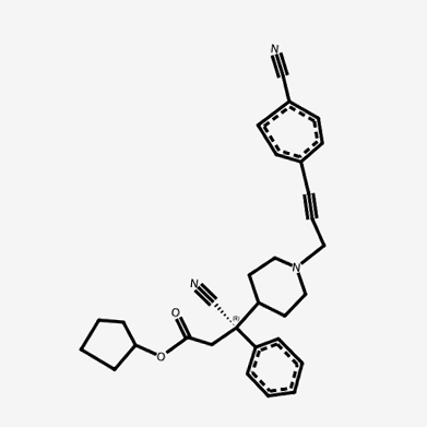 N#Cc1ccc(C#CCN2CCC([C@](C#N)(CC(=O)OC3CCCC3)c3ccccc3)CC2)cc1